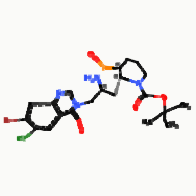 CC(C)(C)OC(=O)N1CCC[C@H](P=O)[C@H]1C[C@H](N)Cn1cnc2cc(Br)c(Cl)cc2c1=O